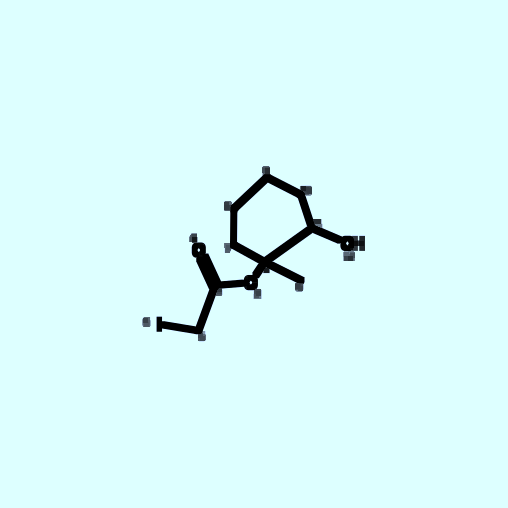 CC1(OC(=O)CI)CCCCC1O